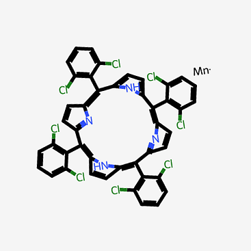 Clc1cccc(Cl)c1-c1c2nc(c(-c3c(Cl)cccc3Cl)c3ccc([nH]3)c(-c3c(Cl)cccc3Cl)c3nc(c(-c4c(Cl)cccc4Cl)c4ccc1[nH]4)C=C3)C=C2.[Mn]